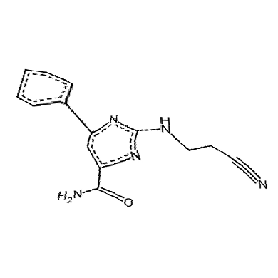 N#CCCNc1nc(C(N)=O)cc(-c2ccccc2)n1